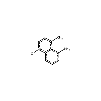 Cc1cc[n+]([O-])c2cccc(N)c12